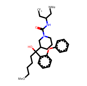 CNCC(CC(F)(F)F)NC(=O)N1CCCC(C(O)(CCCCOC)c2ccccc2Oc2ccccc2)C1